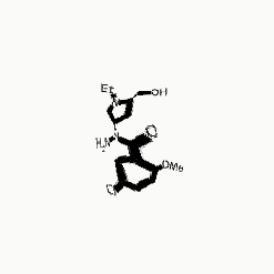 CCN1C[C@@H](N(N)C(=O)c2cc(Cl)ccc2OC)C[C@H]1CO